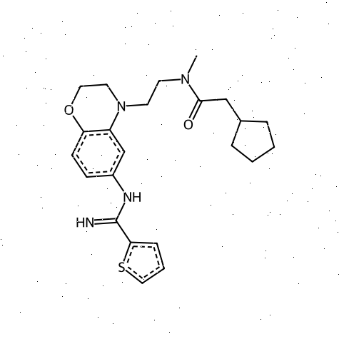 CN(CCN1CCOc2ccc(NC(=N)c3cccs3)cc21)C(=O)CC1CCCC1